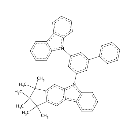 CC1(C)c2cc3c4ccccc4n(-c4cc(-c5ccccc5)cc(-n5c6ccccc6c6ccccc65)c4)c3cc2C(C)(C)C1(C)C